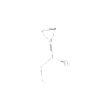 [CH2]CC(Br)C1CC1